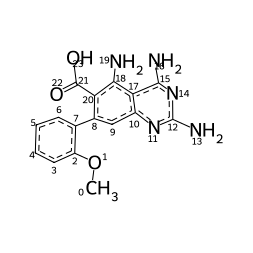 COc1ccccc1-c1cc2nc(N)nc(N)c2c(N)c1C(=O)O